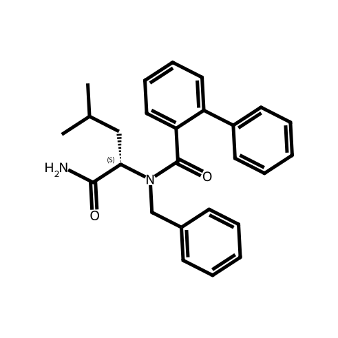 CC(C)C[C@@H](C(N)=O)N(Cc1ccccc1)C(=O)c1ccccc1-c1ccccc1